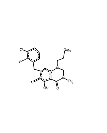 COCCN1CN(C)C(=O)c2c(O)c(=O)c(Cc3cccc(Cl)c3F)cn21